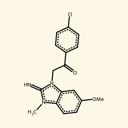 COc1ccc2c(c1)n(CC(=O)c1ccc(Cl)cc1)c(=N)n2C